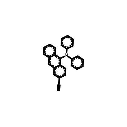 C#Cc1ccc2c(N(c3ccccc3)c3ccccc3)c3ccccc3cc2c1